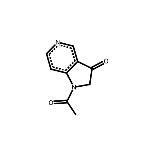 CC(=O)N1CC(=O)c2cnccc21